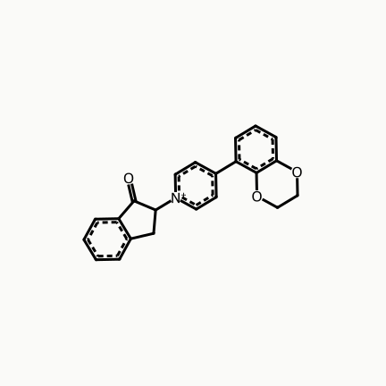 O=C1c2ccccc2CC1[n+]1ccc(-c2cccc3c2OCCO3)cc1